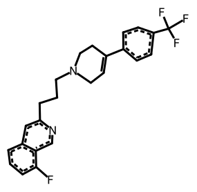 Fc1cccc2cc(CCCN3CC=C(c4ccc(C(F)(F)F)cc4)CC3)ncc12